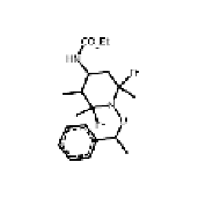 CCOC(=O)NC1CC(C)(CC)N(OC(C)c2ccccc2)C(C)(CC)C1C